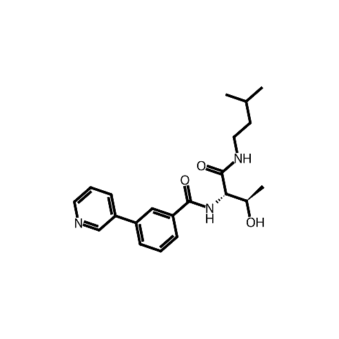 CC(C)CCNC(=O)[C@@H](NC(=O)c1cccc(-c2cccnc2)c1)[C@@H](C)O